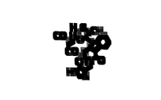 Cc1[nH]cnc1CN1CCc2c(c3ccccc3n2C(=O)N(C)C)C1=O.O=C(O)C=CC(=O)O